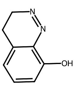 Oc1cccc2c1N=NCC2